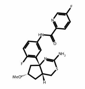 CO[C@H]1C[C@H]2CSC(N)=N[C@@]2(c2cc(NC(=O)c3ccc(F)cn3)ccc2F)C1